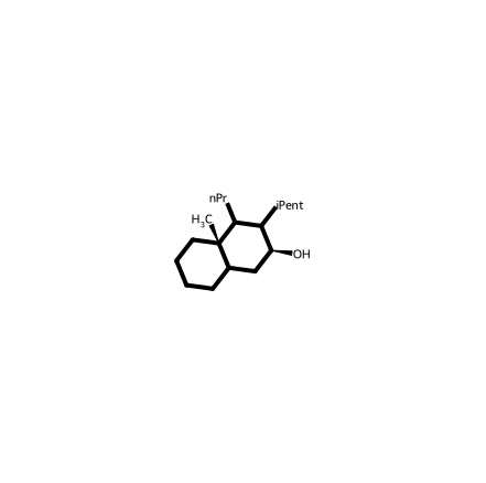 CCCC(C)C1C(CCC)[C@@]2(C)CCCCC2C[C@@H]1O